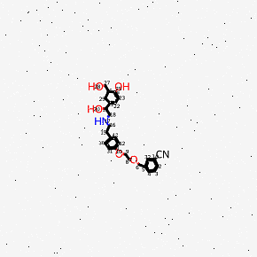 N#Cc1cccc(COCCOc2ccc(CCNCC(O)C3=CC=C(O)C(CO)C3)cc2)c1